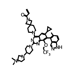 C=CC(=O)N1CC2(CCN(c3nc(N4CCC(N5CC[C@@H](N(C)C)C5)CC4)nc4c(OCC(F)(F)F)c(-c5c(C)ccc6[nH]ncc56)c(C5CC5)cc34)CC2)C1